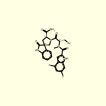 CC(=O)C[C@@H](C(=O)N1C[C@]2(C[C@H]1C(N)=O)C(=O)Nc1ccccc12)N(C)C(=O)c1cc2c(F)cc(F)cc2[nH]1